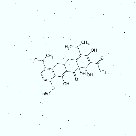 CCCCOc1ccc(N(C)C)c2c1C(O)=C1C(=O)C3(O)C(=C(N(C)C)C(O)=C(C(N)=O)C3O)CC1C2